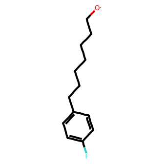 [O]CCCCCCCc1ccc(F)cc1